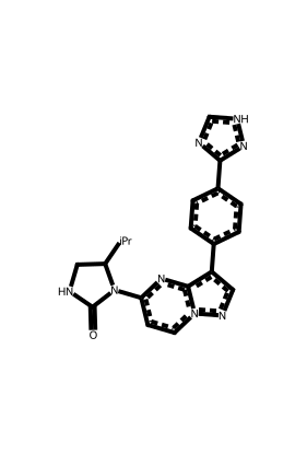 CC(C)C1CNC(=O)N1c1ccn2ncc(-c3ccc(-c4nc[nH]n4)cc3)c2n1